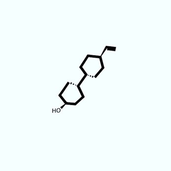 C=C[C@H]1CC[C@H]([C@H]2CC[C@H](O)CC2)CC1